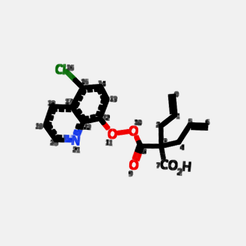 C=CCC(CC=C)(C(=O)O)C(=O)OOc1ccc(Cl)c2cccnc12